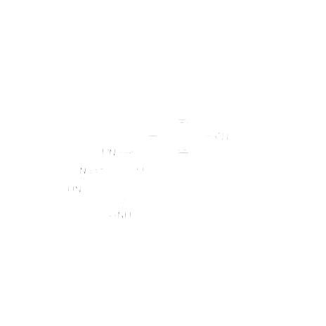 Cc1ccc(CC(=O)Nc2n[nH]c3c2CNC3)cc1